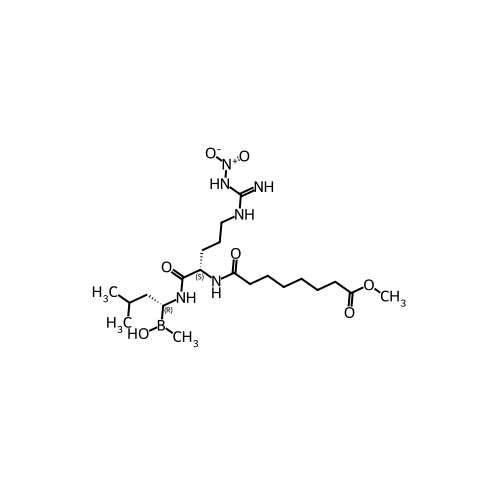 COC(=O)CCCCCCC(=O)N[C@@H](CCCNC(=N)N[N+](=O)[O-])C(=O)N[C@@H](CC(C)C)B(C)O